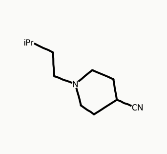 CC(C)CCN1CCC(C#N)CC1